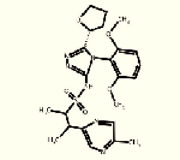 COc1cccc(OC)c1-n1c(NS(=O)(=O)C(C)C(C)c2cnc(C)cn2)nnc1[C@H]1CCCO1